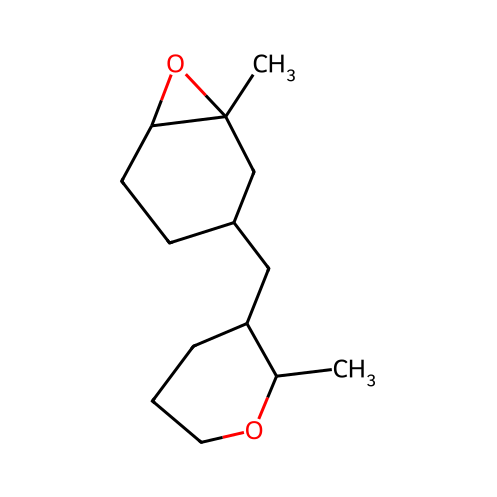 CC1OCCCC1CC1CCC2OC2(C)C1